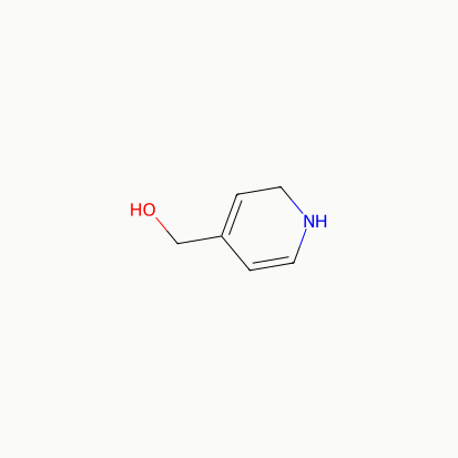 OCC1=CCNC=C1